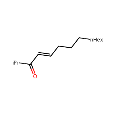 CCCCCCCCC/C=C/C(=O)C(C)C